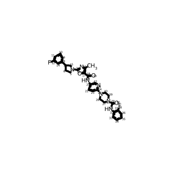 Cc1nc(N2CCC(c3cccc(F)c3)C2)oc1C(=O)Nc1ccc(N2CCN(C(=O)Nc3ccccc3F)CC2)nc1